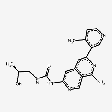 Cc1ccncc1-c1cc2cc(NC(=O)NC[C@H](C)O)ncc2c(N)n1